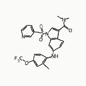 Cc1cc(OC(F)(F)F)ccc1Nc1ccc2c(C(=O)N(C)C)cn(S(=O)(=O)c3cccnc3)c2c1